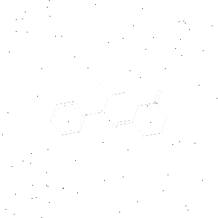 C[SiH](C)N(N=C1CCCC(=O)C1)c1ccccc1